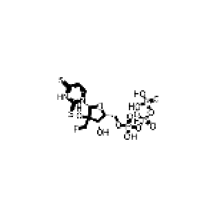 O=P(O)(O)OP(=O)(O)OP(=O)(O)OC[C@H]1O[C@@H](n2ccc(=S)[nH]c2=S)C(O)(CF)[C@H]1O